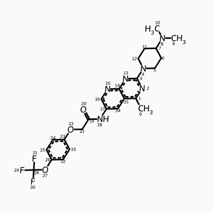 Cc1nc(N2CCC(N(C)C)CC2)nc2ncc(NC(=O)COc3ccc(OC(F)(F)F)cc3)cc12